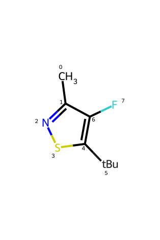 Cc1nsc(C(C)(C)C)c1F